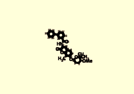 CO[C@@H]1CCC(Oc2ccc3cc(NC(=O)c4cccc(-c5ccccc5)c4)c(=O)oc3c2C)OC1(C)C